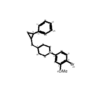 COc1cc(N2CCC(CC3CC3c3ccccc3)CC2)ccc1Br